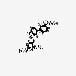 COc1cccc(-c2ccc3c(c2)N(Cc2cnc(N)nc2N)CC3)c1